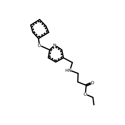 CCOC(=O)CCNCc1ccc(Oc2ccccc2)nc1